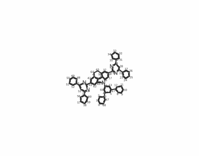 c1ccc(-c2cc(-c3ccccc3)cc(-n3c4cc(-c5nc(-c6ccccc6)cc(-c6ccccc6)n5)cc5c4c4c(cc(-c6nc(-c7ccccc7)cc(-c7ccccc7)n6)cc43)CC5)c2)cc1